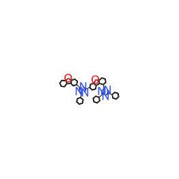 c1ccc(-c2nc(-c3ccc4c(c3)oc3cccc(-c5nc(-c6ccccc6)nc(-c6ccccc6)n5)c34)nc(-c3ccc4oc5ccccc5c4c3)n2)cc1